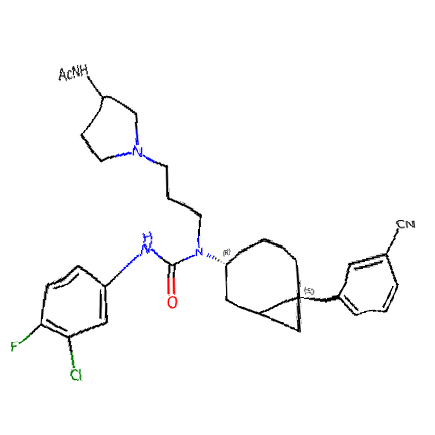 CC(=O)NC1CCN(CCCN(C(=O)Nc2ccc(F)c(Cl)c2)[C@@H]2CC[C@]3(c4cccc(C#N)c4)CC3C2)C1